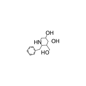 OCC1C(Cc2ccccc2)NCC(O)[C@@H]1O